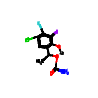 CCOc1c(C(C)OC(N)=O)cc(Cl)c(F)c1I